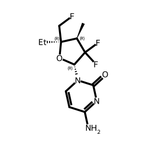 CC[C@@]1(CF)O[C@@H](n2ccc(N)nc2=O)C(F)(F)[C@@H]1C